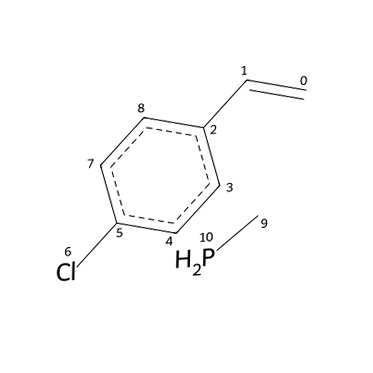 C=Cc1ccc(Cl)cc1.CP